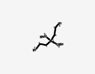 CO[Si](CCC(C)C)(CCC(C)C)OC